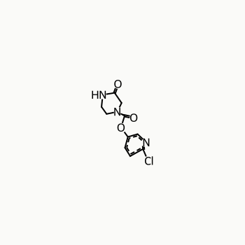 O=C1CN(C(=O)Oc2ccc(Cl)nc2)CCN1